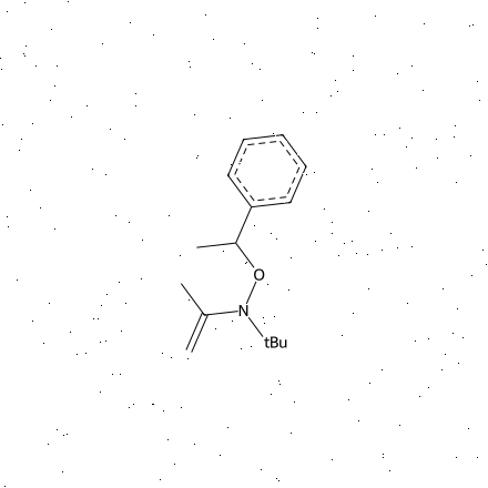 C=C(C)N(OC(C)c1ccccc1)C(C)(C)C